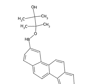 CC(C)(O)C(C)(C)OBc1ccc2ccc3c4ccccc4ccc3c2c1